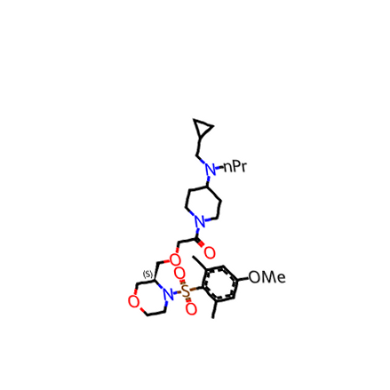 CCCN(CC1CC1)C1CCN(C(=O)COC[C@@H]2COCCN2S(=O)(=O)c2c(C)cc(OC)cc2C)CC1